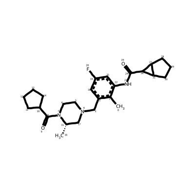 Cc1c(CN2CCN(C(=O)C3CCCC3)[C@@H](C)C2)cc(F)cc1NC(=O)C1C2CCCC21